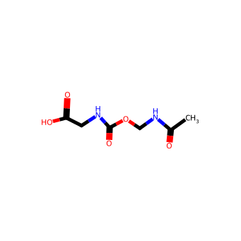 CC(=O)NCOC(=O)NCC(=O)O